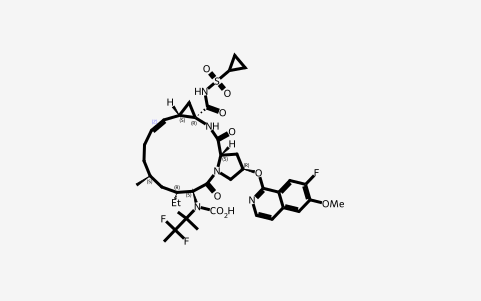 CC[C@@H]1C[C@@H](C)CC/C=C\[C@@H]2C[C@@]2(C(=O)NS(=O)(=O)C2CC2)NC(=O)[C@@H]2C[C@@H](Oc3nccc4cc(OC)c(F)cc34)CN2C(=O)[C@H]1N(C(=O)O)C(C)(C)C(C)(F)F